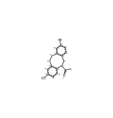 CC(=O)N1Cc2ccc(Br)cc2CCc2cc(Cl)ccc21